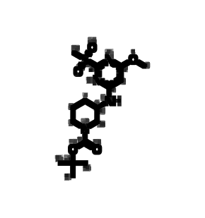 COc1cc(N[C@@H]2CCCN(C(=O)OC(C)(C)C)C2)nc(S(C)(=O)=O)n1